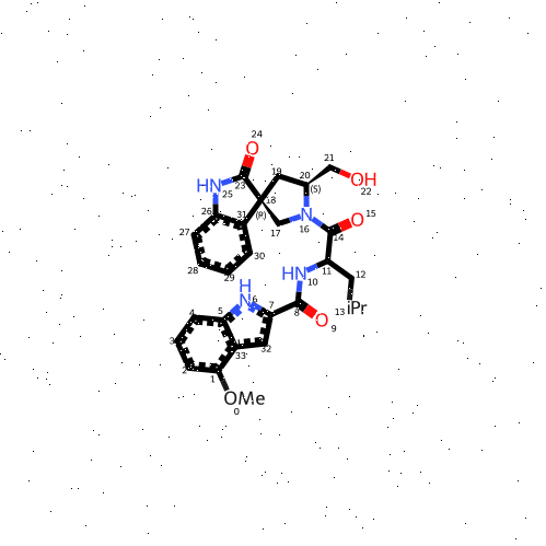 COc1cccc2[nH]c(C(=O)NC(CC(C)C)C(=O)N3C[C@]4(C[C@H]3CO)C(=O)Nc3ccccc34)cc12